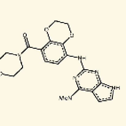 CNc1nc(Nc2ccc(C(=O)N3CCOCC3)c3c2OCCO3)nc2[nH]ccc12